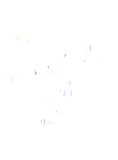 CC(C)(C)OC(=O)NC[C@@H]1[C@@H]([C@@]2(C)CC[C@H](O)C[C@@H]2CO)CC[C@]2(C)C(=O)CC[C@@H]12